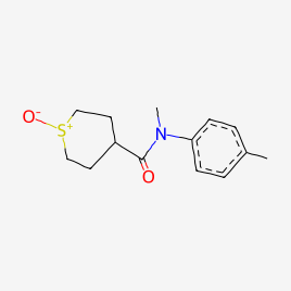 Cc1ccc(N(C)C(=O)C2CC[S+]([O-])CC2)cc1